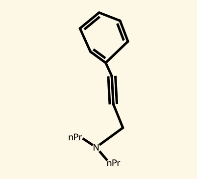 CCCN(CC#Cc1ccccc1)CCC